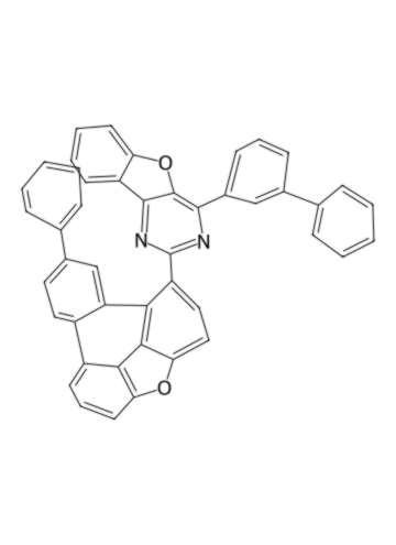 c1ccc(-c2cccc(-c3nc(-c4ccc5oc6cccc7c8ccc(-c9ccccc9)cc8c4c5c67)nc4c3oc3ccccc34)c2)cc1